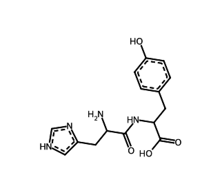 NC(Cc1c[nH]cn1)C(=O)NC(Cc1ccc(O)cc1)C(=O)O